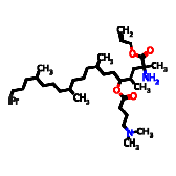 C=CCOC(=O)C(C)(N)CC(C)C(CCC(C)CCCC(C)CCCC(C)CCCC(C)C)OC(=O)CCCN(C)C